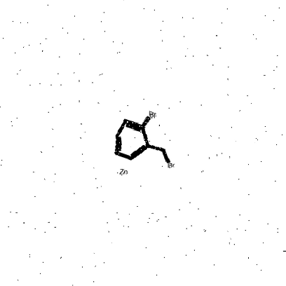 BrCc1ccccc1Br.[Zn]